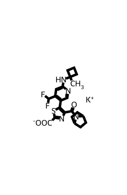 CC1(Nc2cc(C(F)F)c(-c3sc(C(=O)[O-])nc3C(=O)N3C4CCC3CC4)cn2)CCC1.[K+]